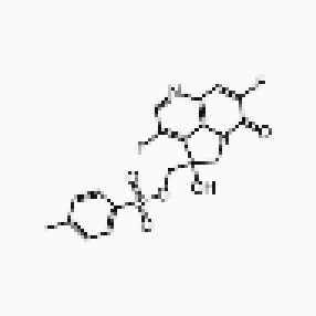 Cc1ccc(S(=O)(=O)OCC2(O)Cn3c(=O)c(F)cc4ncc(F)c2c43)cc1